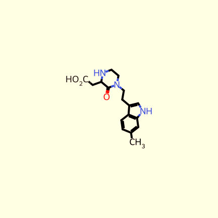 Cc1ccc2c(CCN3CCNC(CC(=O)O)C3=O)c[nH]c2c1